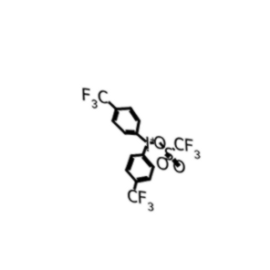 O=S(=O)(O[I+](c1ccc(C(F)(F)F)cc1)c1ccc(C(F)(F)F)cc1)C(F)(F)F